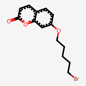 O=c1ccc2ccc(OCCCCCBr)cc2o1